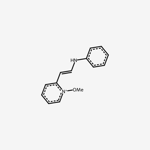 CO[n+]1ccccc1C=CNc1ccccc1